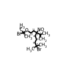 C=C(C)C(CCCC(C)(C)Br)(CCOC(C)(C)Br)N=O